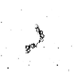 O=COc1ccc2ccc(OCCCCN3CCN(c4cccc5sccc45)CC3)cc2n1